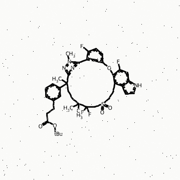 Cn1nc2nc1-c1cc(ccc1F)Oc1c(F)cc3[nH]ccc3c1CCS(=O)(=O)CC(F)(F)C(C)(C)CCC2(C)c1cccc(CCC(=O)OC(C)(C)C)c1